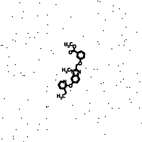 CCc1cccnc1Oc1ccc2nc(COc3cccc(C(=O)OC)c3)n(C)c2c1